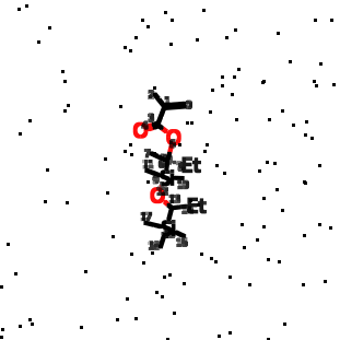 C=C(C)C(=O)O[C@@](C)(CC)[Si](C)(C)OC(CC)[Si](C)(C)C